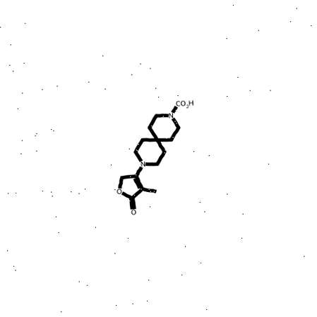 CC1=C(N2CCC3(CCN(C(=O)O)CC3)CC2)COC1=O